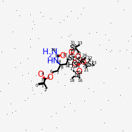 C=C(C)C(=O)OCCC(CC[Si](O[SiH](O[Si](C)(C)C)O[Si](C)(C)C)(O[Si](C)(C)C)O[Si](C)(C)C)NC(N)=O